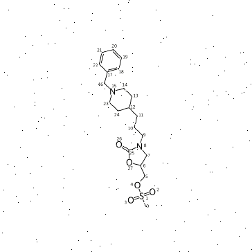 CS(=O)(=O)OCC1CN(CCCC2CCN(Cc3ccccc3)CC2)C(=O)O1